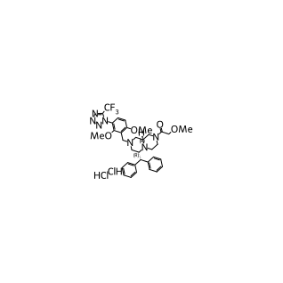 COCC(=O)N1CCN2[C@H](CN(Cc3c(OC)ccc(-n4nnnc4C(F)(F)F)c3OC)C[C@H]2C(c2ccccc2)c2ccccc2)C1.Cl.Cl